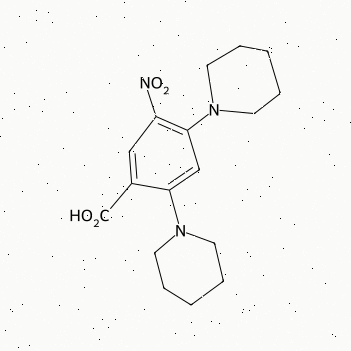 O=C(O)c1cc([N+](=O)[O-])c(N2CCCCC2)cc1N1CCCCC1